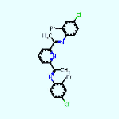 C/C(=N\c1ccc(Cl)cc1C(C)C)c1cccc(/C(C)=N/c2ccc(Cl)cc2C(C)C)n1